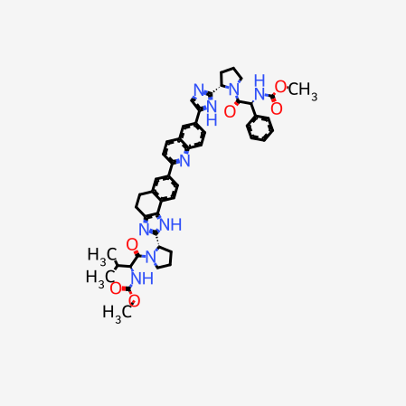 COC(=O)N[C@H](C(=O)N1CCC[C@H]1c1nc2c([nH]1)-c1ccc(-c3ccc4cc(-c5cnc([C@@H]6CCCN6C(=O)[C@H](NC(=O)OC)c6ccccc6)[nH]5)ccc4n3)cc1CC2)C(C)C